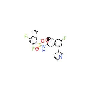 CC(C)c1cc(S(=O)(=O)NC(=O)Cc2c(-c3cccnc3)cc(F)cc2C(C)C)c(F)cc1F